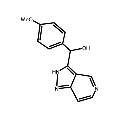 COc1ccc(C(O)c2[nH]nc3ccncc23)cc1